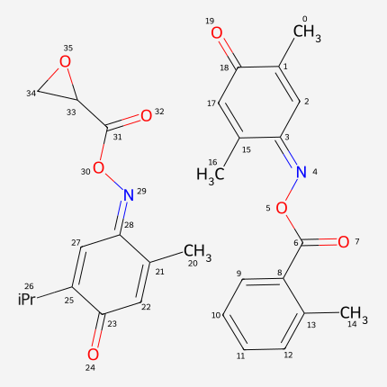 CC1=CC(=NOC(=O)c2ccccc2C)C(C)=CC1=O.CC1=CC(=O)C(C(C)C)=CC1=NOC(=O)C1CO1